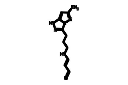 Cc1cc2[nH]nc(CCCNC=CC=O)n2n1